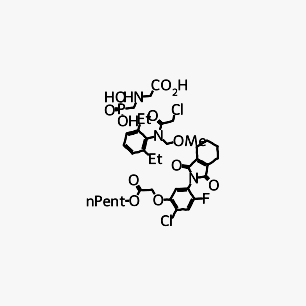 CCCCCOC(=O)COc1cc(N2C(=O)C3=C(CCCC3)C2=O)c(F)cc1Cl.CCc1cccc(CC)c1N(COC)C(=O)CCl.O=C(O)CNCP(=O)(O)O